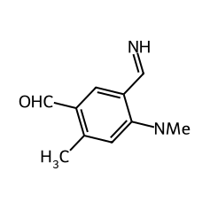 CNc1cc(C)c(C=O)cc1C=N